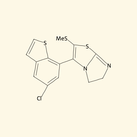 CSC1=C(c2cc(Cl)cc3ccsc23)N2CCN=C2S1